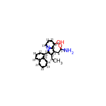 CCc1c(CC(N)=O)c2c(O)cccn2c1-c1cccc2ccccc12